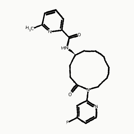 Cc1cccc(C(=O)N[C@H]2CCCCCCN(c3cc(F)ccn3)C(=O)CC2)n1